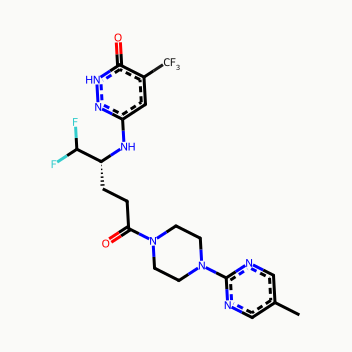 Cc1cnc(N2CCN(C(=O)CC[C@@H](Nc3cc(C(F)(F)F)c(=O)[nH]n3)C(F)F)CC2)nc1